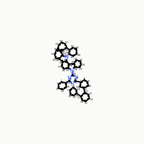 c1ccc(-c2nc(-c3cccc(-c4ccccc4-c4ccccc4)c3)nc(-n3c4ccccc4c4c3ccc3c5ccccc5n(-c5ccccc5-c5ccccc5)c34)n2)cc1